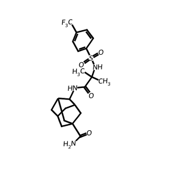 CC(C)(NS(=O)(=O)c1ccc(C(F)(F)F)cc1)C(=O)NC1C2CC3CC1CC(C(N)=O)(C3)C2